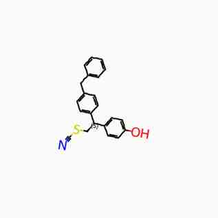 N#CSC[C@H](c1ccc(O)cc1)c1ccc(Cc2ccccc2)cc1